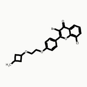 CC1CC(OCCOc2ccc(-c3oc4c(Cl)cccc4c(=O)c3Br)cc2)C1